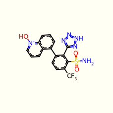 NS(=O)(=O)c1c(C(F)(F)F)ccc(-c2cccc3c2ccc[n+]3O)c1-c1nn[nH]n1